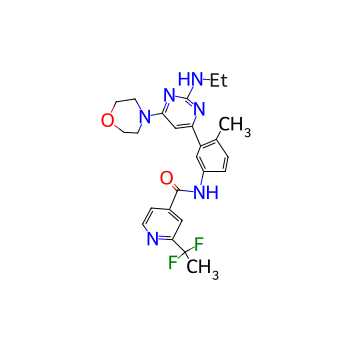 CCNc1nc(-c2cc(NC(=O)c3ccnc(C(C)(F)F)c3)ccc2C)cc(N2CCOCC2)n1